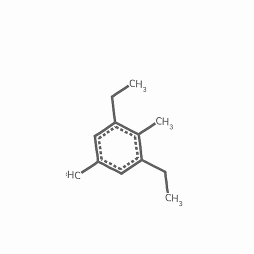 [CH]c1cc(CC)c(C)c(CC)c1